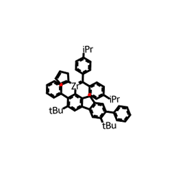 CC(C)c1ccc([C](c2ccc(C(C)C)cc2)=[Zr]([C]2=CC=CC2)[c]2c3c(cc(C(C)(C)C)c2-c2ccccc2)-c2cc(C(C)(C)C)c(-c4ccccc4)cc2C3)cc1